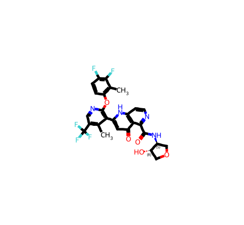 Cc1c(Oc2ncc(C(F)(F)F)c(C)c2-c2cc(=O)c3c(C(=O)N[C@H]4COC[C@@H]4O)nccc3[nH]2)ccc(F)c1F